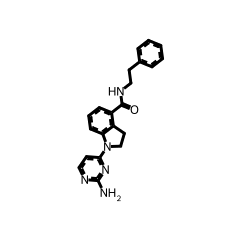 Nc1nccc(N2CCc3c(C(=O)NCCc4ccccc4)cccc32)n1